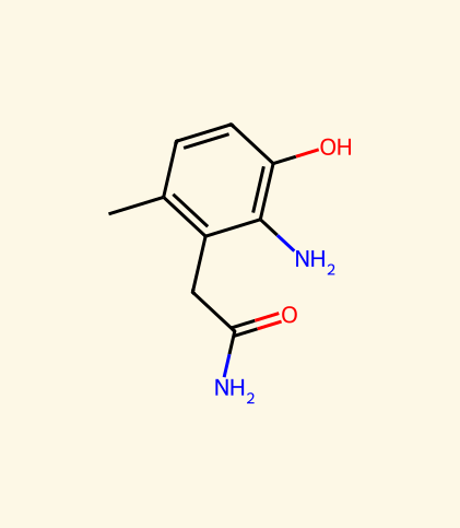 Cc1ccc(O)c(N)c1CC(N)=O